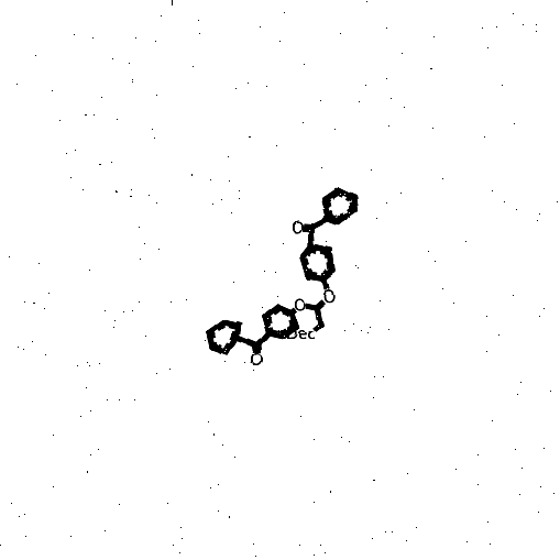 CCCCCCCCCCCC(Oc1ccc(C(=O)c2ccccc2)cc1)Oc1ccc(C(=O)c2ccccc2)cc1